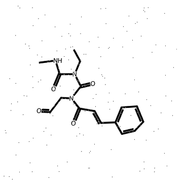 CCN(C(=O)NC)C(=O)N(C[C]=O)C(=O)C=Cc1ccccc1